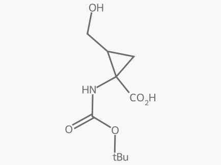 CC(C)(C)OC(=O)NC1(C(=O)O)CC1CO